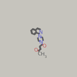 CC(=O)C=CC(=O)N1CCN(c2nccc3ccccc23)CC1